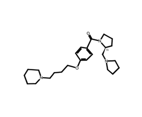 O=C(c1ccc(OCCCCN2CCCCC2)cc1)N1CCC[C@H]1CN1CCCC1